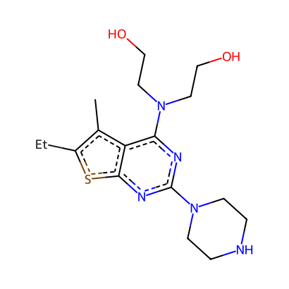 CCc1sc2nc(N3CCNCC3)nc(N(CCO)CCO)c2c1C